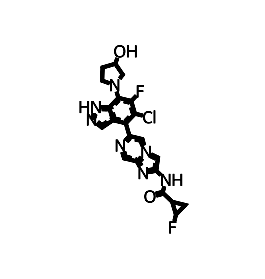 O=C(Nc1cn2cc(-c3c(Cl)c(F)c(N4CCC(O)C4)c4[nH]ncc34)ncc2n1)C1CC1F